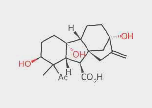 C=C1C[C@]23C[C@@]1(O)CC[C@H]2[C@]1(O)CC[C@H](O)C(C)(C(C)=O)[C@H]1[C@@H]3C(=O)O